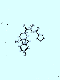 CC(C)[C@@H](NC(=O)C1CCCC1)C(=O)N1CCC(O)(c2ccc(Cl)cc2)C2(CC2)C1